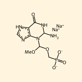 COC(OCP(=O)([O-])[O-])N1c2nc[nH]c2C(=O)NC1N.[Na+].[Na+]